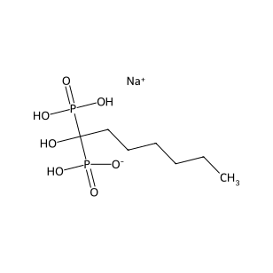 CCCCCCC(O)(P(=O)([O-])O)P(=O)(O)O.[Na+]